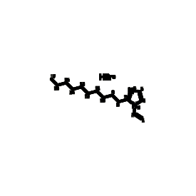 Br.C=Cn1ccnc1CCCCCCCCCC